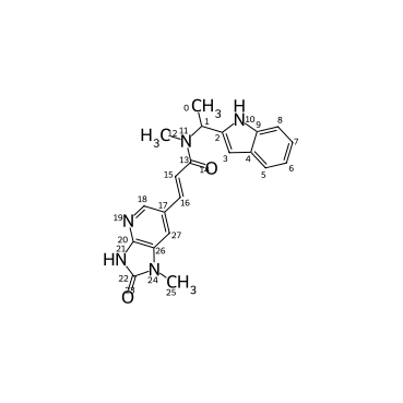 CC(c1cc2ccccc2[nH]1)N(C)C(=O)C=Cc1cnc2[nH]c(=O)n(C)c2c1